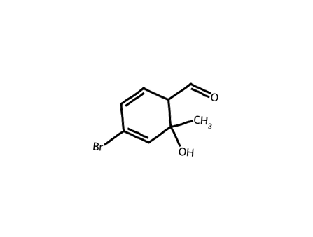 CC1(O)C=C(Br)C=CC1C=O